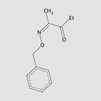 CCC(=O)C(C)=NOCc1ccccc1